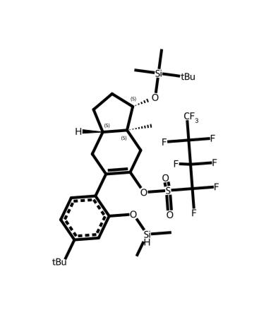 C[SiH](C)Oc1cc(C(C)(C)C)ccc1C1=C(OS(=O)(=O)C(F)(F)C(F)(F)C(F)(F)C(F)(F)F)C[C@@]2(C)[C@@H](CC[C@@H]2O[Si](C)(C)C(C)(C)C)C1